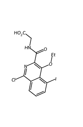 CCOc1c(C(=O)NCC(=O)O)nc(Cl)c2cccc(I)c12